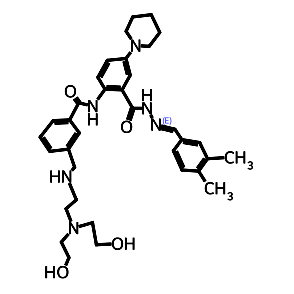 Cc1ccc(/C=N/NC(=O)c2cc(N3CCCCC3)ccc2NC(=O)c2cccc(CNCCN(CCO)CCO)c2)cc1C